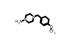 NN1CCN(CC2=CC=C(OC(F)(F)F)CC2)CC1